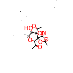 CC(=O)O[C@]1(C(C)=O)[C](C(C)=O)O[C@H](C)[C@@H](O)[C@@]1(O)C(C)=O